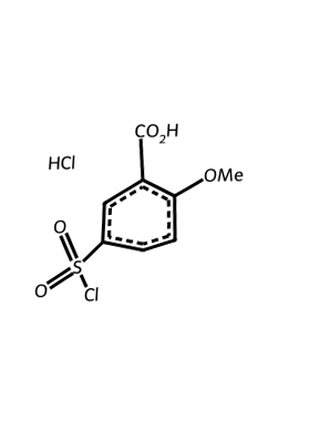 COc1ccc(S(=O)(=O)Cl)cc1C(=O)O.Cl